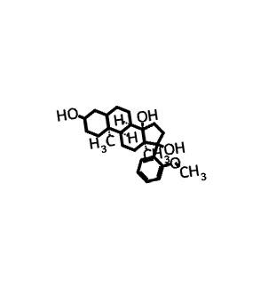 COc1ccccc1C1(O)CC[C@@]2(O)[C@@H]3CCC4CC(O)CC[C@]4(C)[C@@H]3CC[C@]12C